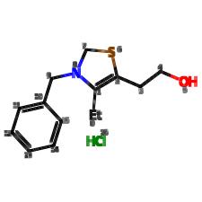 CCC1=C(CCO)SCN1Cc1ccccc1.Cl